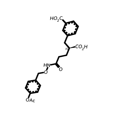 CC(=O)Oc1ccc(CONC(=O)CC[C@@H](Cc2cccc(C(=O)O)c2)C(=O)O)cc1